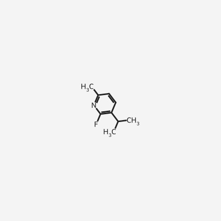 Cc1ccc(C(C)C)c(F)n1